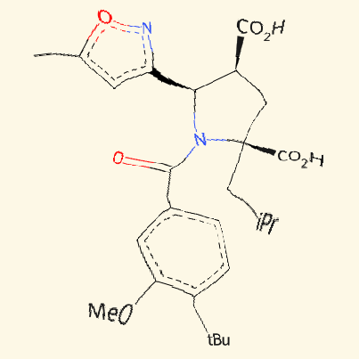 COc1cc(C(=O)N2[C@@H](c3cc(C)on3)[C@@H](C(=O)O)C[C@@]2(CC(C)C)C(=O)O)ccc1C(C)(C)C